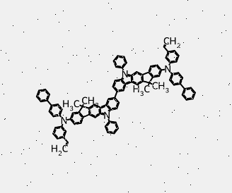 C=Cc1cccc(N(c2ccc(-c3ccccc3)cc2)c2ccc3c(c2)C(C)(C)c2cc4c5cc(-c6ccc7c(c6)c6cc8c(cc6n7-c6ccccc6)-c6ccc(N(c7ccc(-c9ccccc9)cc7)c7cccc(C=C)c7)cc6C8(C)C)ccc5n(-c5ccccc5)c4cc2-3)c1